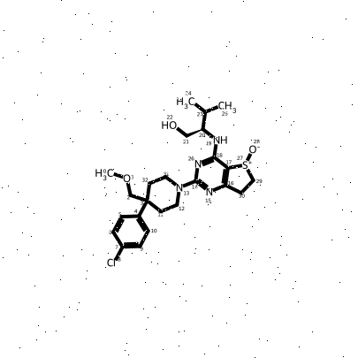 COCC1(c2ccc(Cl)cc2)CCN(c2nc3c(c(N[C@@H](CO)C(C)C)n2)[S+]([O-])CC3)CC1